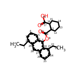 CCc1cccc2c(OC(=O)C3CCCCC3C(=O)O)c3c(CC)cccc3cc12